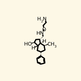 C[C@H]1C[C@H](c2ccccc2)C[C@H]2[C@H]1[C@@H](CNOCCN)C[C@@H]2O